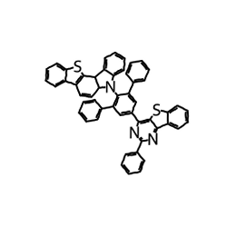 C1=CC2C(c3ccccc3N2c2c(-c3ccccc3)cc(-c3nc(-c4ccccc4)nc4c3sc3ccccc34)cc2-c2ccccc2)c2sc3ccccc3c21